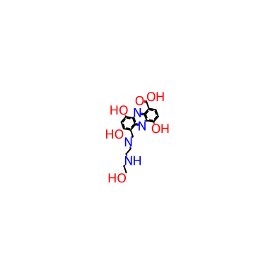 O=C(O)c1ccc(O)c2nc3c(C=NCCNCCO)c(O)cc(O)c3nc12